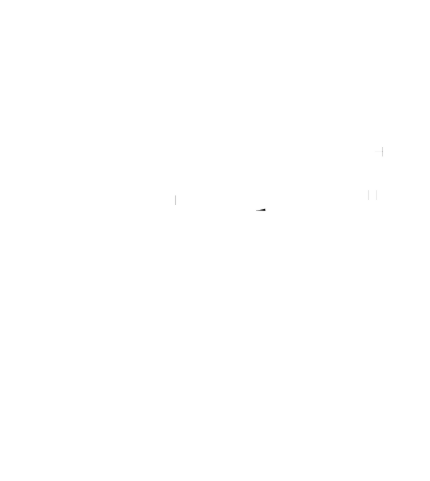 CC(C)CC[C@H]1CC(=O)C[C@@H]2c3ccc(OCc4ccccc4)cc3CC[C@@H]12